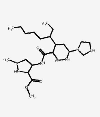 CCCCCC(CC)C1CC(N2CCNC2)NNC1C(=O)NC1CN(C)NC1C(=O)OC